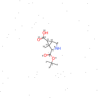 CC(C)(C)OC(=O)C1NCC2C(C(=O)O)C12C